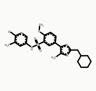 COc1ccc(-c2sc(CC3CCCCC3)nc2C)cc1S(=O)(=O)Nc1cnc(Cl)c(C)c1